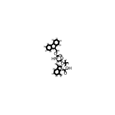 CC(C)(C)OC(=O)[C@H](Cc1cn(C(=O)O)c2c(F)cccc12)NC(=O)OCC1c2ccccc2-c2ccccc21